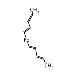 CC=CC=[CH][Fe][CH]=CC=CC